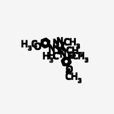 CCOc1ccc(-n2c(C)c3c(C)nnc(Nc4cccc(OC)c4)c3c2C)c(OC)c1